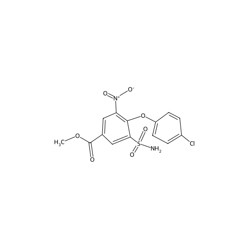 COC(=O)c1cc([N+](=O)[O-])c(Oc2ccc(Cl)cc2)c(S(N)(=O)=O)c1